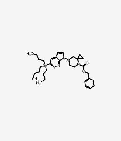 CCC[CH2][Sn]([CH2]CCC)([CH2]CCC)[c]1cc2ccn([C@@H]3CCN(C(=O)OCc4ccccc4)C4(CC4)C3)c2nn1